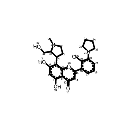 CN1CCC(c2c(O)cc(O)c3c(=O)cc(-c4cccc(N5CCCC5)c4Cl)oc23)C1CO